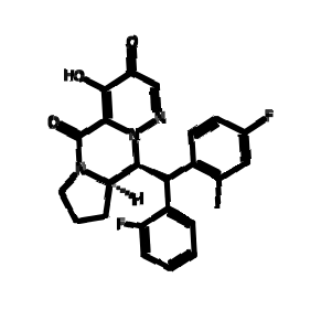 Cc1cc(F)ccc1C(c1ccccc1F)[C@H]1[C@H]2CCCN2C(=O)c2c(O)c(=O)cnn21